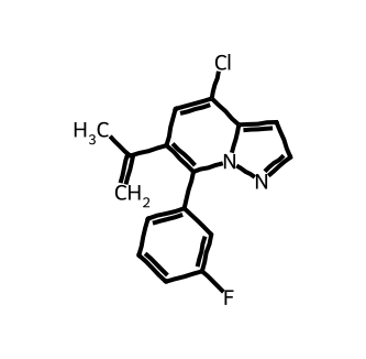 C=C(C)c1cc(Cl)c2ccnn2c1-c1cccc(F)c1